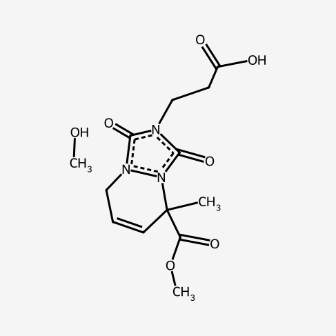 CO.COC(=O)C1(C)C=CCn2c(=O)n(CCC(=O)O)c(=O)n21